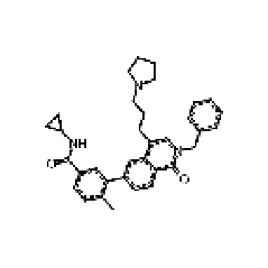 Cc1ccc(C(=O)NC2CC2)cc1-c1ccc2c(=O)n(Cc3ccccc3)cc(CCCN3CCCC3)c2c1